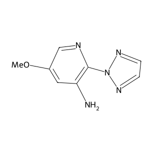 COc1cnc(-n2nccn2)c(N)c1